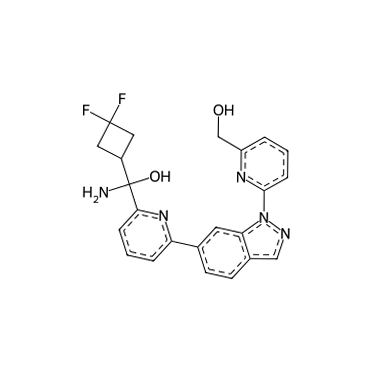 NC(O)(c1cccc(-c2ccc3cnn(-c4cccc(CO)n4)c3c2)n1)C1CC(F)(F)C1